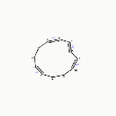 [CH]1/C=C\CC\C=C/C=C/C=C\C1